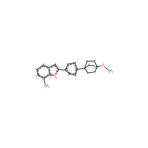 COC12CCC(c3ccc(-c4cc5cccc(C)c5o4)cc3)(CC1)CC2